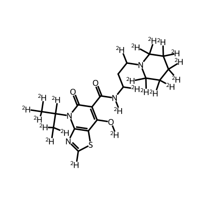 [2H]Oc1c(C(=O)N([2H])C([2H])CC([2H])N2C([2H])([2H])C([2H])([2H])C([2H])([2H])C([2H])([2H])C2([2H])[2H])c(=O)n(C([2H])(C([2H])([2H])[2H])C([2H])([2H])[2H])c2nc([2H])sc12